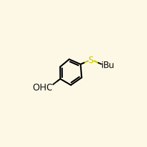 CCC(C)Sc1ccc(C=O)cc1